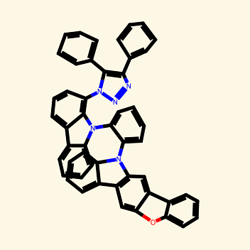 c1ccc(-c2nnn(-c3cccc4c5ccccc5n(-c5ccccc5-n5c6ccccc6c6cc7oc8ccccc8c7cc65)c34)c2-c2ccccc2)cc1